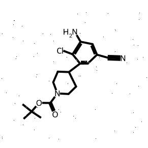 CC(C)(C)OC(=O)N1CCC(c2cc(C#N)cc(N)c2Cl)CC1